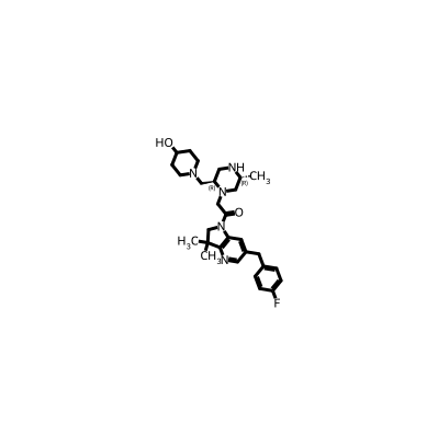 C[C@@H]1CN(CC(=O)N2CC(C)(C)c3ncc(Cc4ccc(F)cc4)cc32)[C@@H](CN2CCC(O)CC2)CN1